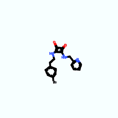 CC(C)c1ccc(CCNc2c(NCc3ccccn3)c(=O)c2=O)cc1